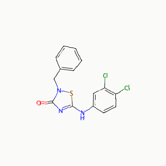 O=c1nc(Nc2ccc(Cl)c(Cl)c2)sn1Cc1ccccc1